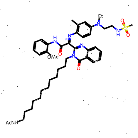 CCN(CCNS(C)(=O)=O)c1ccc(/N=C(/C(=O)Nc2ccccc2OC)c2nc3ccccc3c(=O)n2CCCCCCCCCCCCNC(C)=O)c(C)c1